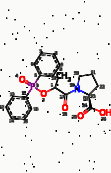 CC(OP(=O)(c1ccccc1)c1ccccc1)C(=O)N1CCC[C@H]1C(=O)O